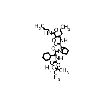 C=CCNC(=O)C(=O)[C@@H](CCC)NC(=O)[C@@H]1C2CCC(C2)N1C(=O)[C@@H](NC(=O)OC(C)(C)C)C1CCCCC1